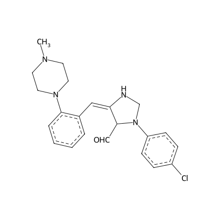 CN1CCN(c2ccccc2C=C2NCN(c3ccc(Cl)cc3)C2C=O)CC1